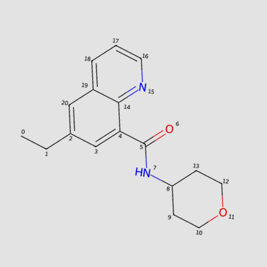 CCc1cc(C(=O)NC2CCOCC2)c2ncccc2c1